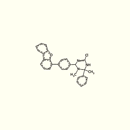 CN1C(c2ccc(-c3cccc4c3oc3ccccc34)cc2)N=C(Cl)NC1(C)c1ccccc1